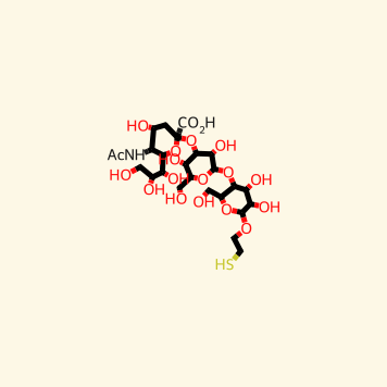 CC(=O)NC1C(O)CC(OC2C(O)C(CO)OC(OC3C(CO)OC(OCCS)C(O)C3O)C2O)(C(=O)O)OC1C(O)C(O)CO